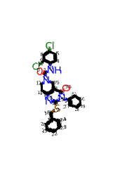 O=C(Nc1ccc(Cl)cc1Cl)N1CCc2nc(SCc3ccccc3)n(-c3ccccc3)c(=O)c2C1